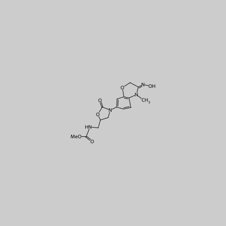 COC(=O)NCC1CN(c2ccc3c(c2)OCC(=NO)N3C)C(=O)O1